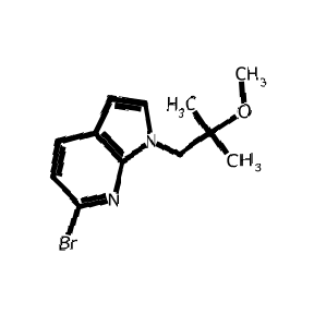 COC(C)(C)Cn1ccc2ccc(Br)nc21